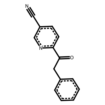 N#Cc1ccc(C(=O)Cc2ccccc2)nc1